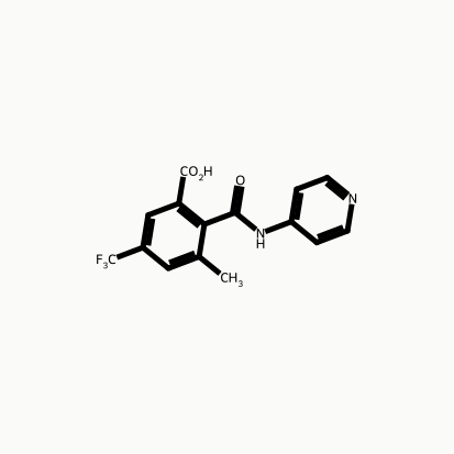 Cc1cc(C(F)(F)F)cc(C(=O)O)c1C(=O)Nc1ccncc1